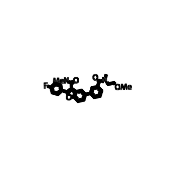 CNC(=O)c1c(-c2ccc(F)cc2)oc2ccc(-c3cccc(C(=O)N(C)CCOC)c3)cc12